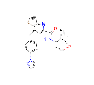 CC1COCCC1NC(=O)c1cc(Cc2ccc(-n3cccn3)cc2)c2sccc2n1